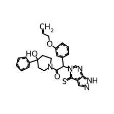 C=CCOc1cccc(C(C(=O)N2CCC(O)(c3ccccc3)CC2)n2cnc3[nH]ncc3c2=S)c1